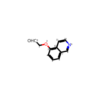 O=CCOc1cccc2cnccc12